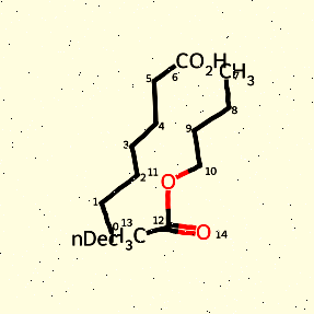 CCCCCCCCCCCCCCCC(=O)O.CCCCOC(C)=O